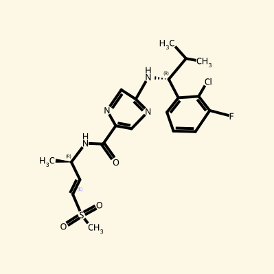 CC(C)[C@@H](Nc1cnc(C(=O)N[C@H](C)/C=C/S(C)(=O)=O)cn1)c1cccc(F)c1Cl